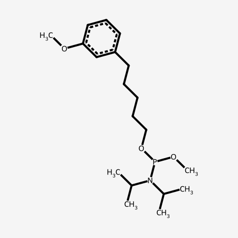 COc1cccc(CCCCCOP(OC)N(C(C)C)C(C)C)c1